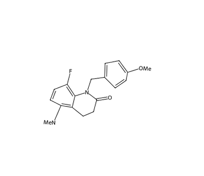 CNc1ccc(F)c2c1CCC(=O)N2Cc1ccc(OC)cc1